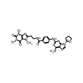 CCn1c(=O)c2c(nc(CCNC(=O)c3ccc(Nc4nc(N)c5ncn([C@H]6CCCO6)c5n4)cc3)n2C)n(CC)c1=O